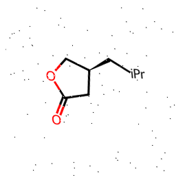 CC(C)C[C@@H]1COC(=O)C1